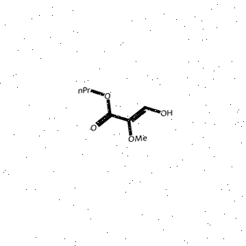 CCCOC(=O)C(=CO)OC